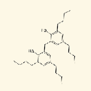 CCCCc1cc(CCCC)c(O)c(Cc2cc(CCCC)cc(CCCC)c2O)c1